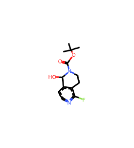 CC(C)(C)OC(=O)N1CCc2c(ccnc2F)C1O